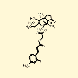 C=C[C@]1(C)C[C@@H](OC(=O)COC(=O)/C=C/c2ccc(C)cc2F)[C@]2(C)[C@H](C)CC[C@]3(CCC(=O)[C@H]32)[C@@H](C)[C@@H]1O